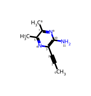 CC#Cc1nc(C)c(C)nc1N